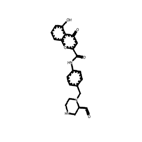 O=CC1CNCCN1Cc1ccc(NC(=O)c2cc(=O)c3c(O)cccc3o2)cc1